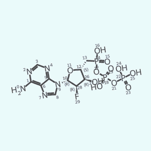 Nc1ncnc2c1ncn2[C@@H]1O[C@H](CP(=O)(O)OP(=O)(O)OP(=O)(O)O)[C@@H](O)[C@H]1F